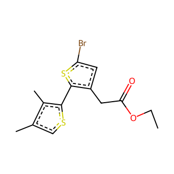 CCOC(=O)Cc1cc(Br)sc1-c1scc(C)c1C